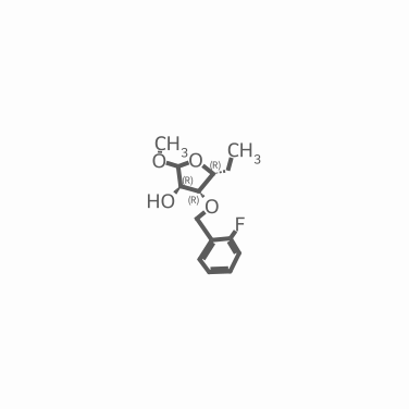 CC[C@H]1OC(OC)[C@H](O)[C@H]1OCc1ccccc1F